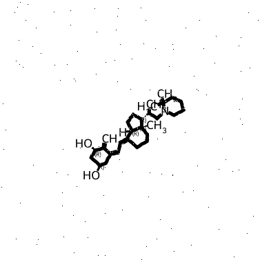 C=C1C(=CC=C2CCC[C@]3(C)[C@@H](C(C)CN4CCCCC4(C)C)CC[C@@H]23)C[C@@H](O)C[C@H]1O